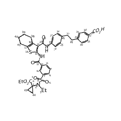 CCOC(=O)C1(N(CC)S(=O)(=O)c2cccc(C(=O)Nc3sc4c(c3C(=O)Nc3ccc(CCc5ccc(C(=O)O)cc5)cc3)CCCC4)c2)CC1